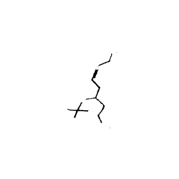 COCCC(C/C=N\COC)OC(C)(C)O